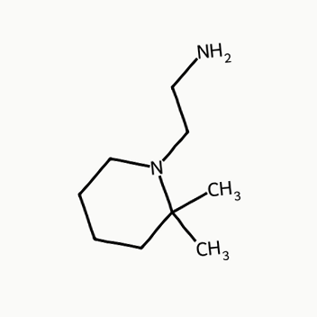 CC1(C)CCCCN1CCN